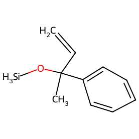 C=CC(C)(O[SiH3])c1ccccc1